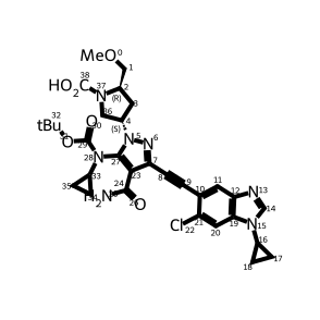 COC[C@H]1C[C@H](n2nc(C#Cc3cc4ncn(C5CC5)c4cc3Cl)c(C(N)=O)c2N(C(=O)OC(C)(C)C)C2CC2)CN1C(=O)O